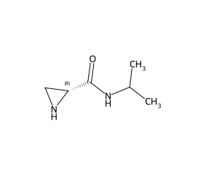 CC(C)NC(=O)[C@H]1CN1